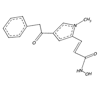 Cn1cc(C(=O)Cc2ccccc2)cc1C=CC(=O)NO